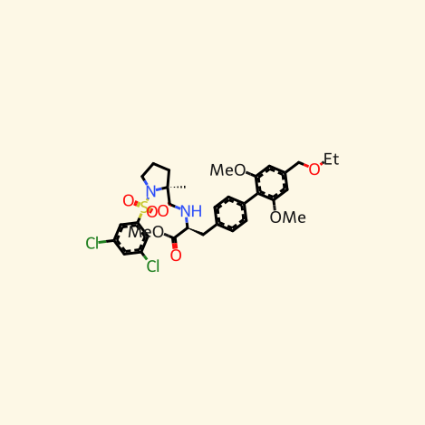 CCOCc1cc(OC)c(-c2ccc(C[C@H](NC(=O)[C@]3(C)CCCN3S(=O)(=O)c3cc(Cl)cc(Cl)c3)C(=O)OC)cc2)c(OC)c1